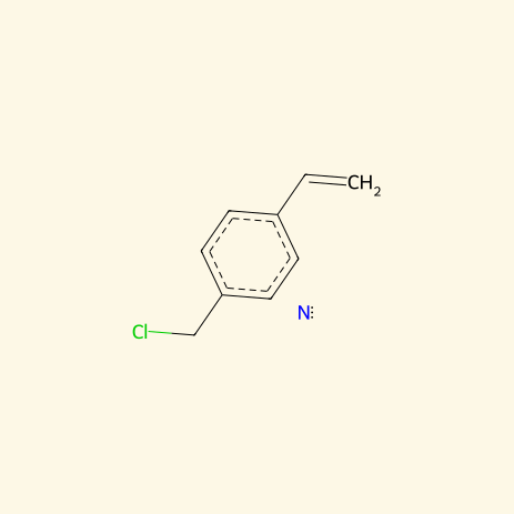 C=Cc1ccc(CCl)cc1.[N]